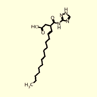 CCCCCCCCCCCCC=CC(CC(=O)O)C(=O)Nc1nc[nH]n1